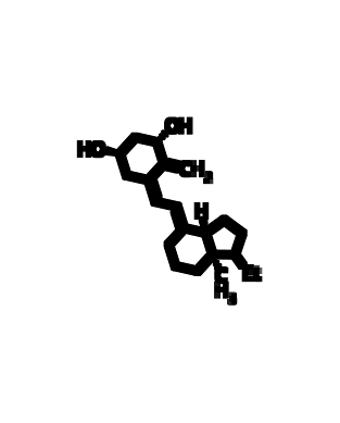 C=C1/C(=C\C=C2/CCC[C@]3(C)C(CC)CC[C@@H]23)C[C@@H](O)C[C@@H]1O